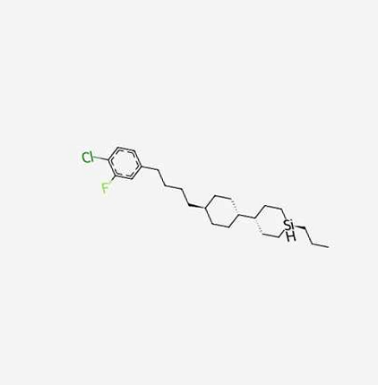 CCC[Si@H]1CC[C@H]([C@H]2CC[C@H](CCCCc3ccc(Cl)c(F)c3)CC2)CC1